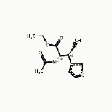 C#C[C@@H](c1ccsc1)[C@H](NC(C)=O)C(=O)OCC